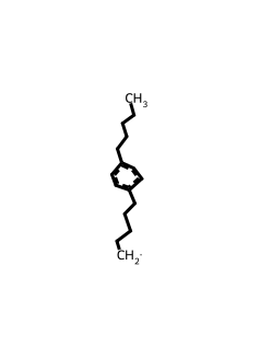 [CH2]CCCCc1ccc(CCCCC)cc1